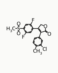 Cc1ccc(C2=C(c3cc(F)c(S(C)(=O)=O)cc3F)COC2=O)cc1Cl